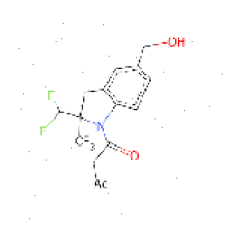 CC(=O)CC(=O)N1c2ccc(CO)cc2CC1(C(F)F)C(F)(F)F